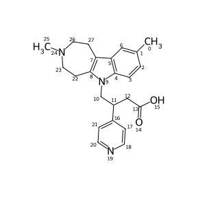 Cc1ccc2c(c1)c1c(n2CC(CC(=O)O)c2ccncc2)CCN(C)CC1